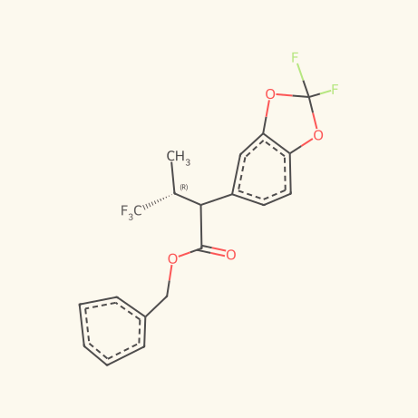 C[C@H](C(C(=O)OCc1ccccc1)c1ccc2c(c1)OC(F)(F)O2)C(F)(F)F